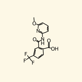 COc1cccc(NC(=O)c2cc(C(F)(F)F)ccc2C(=O)O)n1